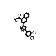 COC(=O)c1cc(-n2cc(-c3ccc(Cl)c(Cl)c3)nn2)cc2ccccc12